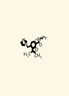 Cc1oc2c(C(=O)NC(C)C)ccc(Cn3ccnc3)c2c1C